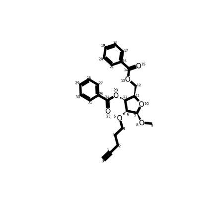 C#CCCCO[C@H]1[C@H](OC)O[C@H](COC(=O)c2ccccc2)[C@H]1OC(=O)c1ccccc1